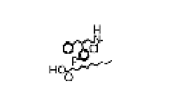 CCCCCCCCCC(=O)O.CNCCC(Cc1ccccc1)c1cc(F)ccc1Cl